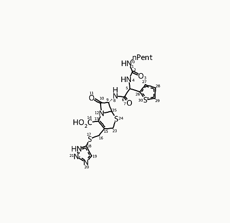 CCCCCNC(=O)NC(C(=O)N[C@H]1C(=O)N2C(C(=O)O)=C(CSc3cnn[nH]3)CSC12)c1cccs1